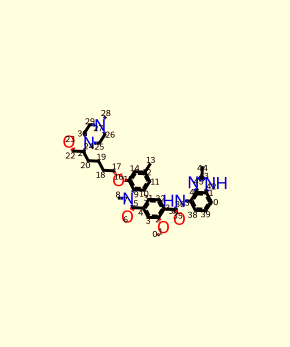 COc1cc(C(=O)N(C)c2ccc(C)cc2OCCCCC(C=O)N2CCN(C)CC2)ccc1C(=O)Nc1cccc2[nH]c(C)nc12